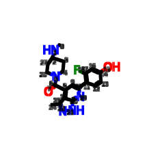 CNC1CCN(C(=O)c2cc(-c3ccc(O)cc3F)nc3[nH]nc(C)c23)CC1